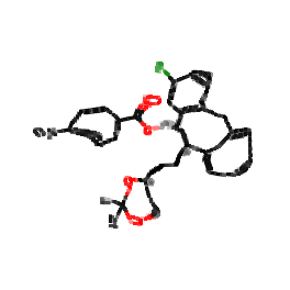 CCC1(CC)OC[C@H](CC[C@@H]2c3ccccc3Cc3ccc(F)cc3[C@H]2OC(=O)c2ccc([N+](=O)[O-])cc2)O1